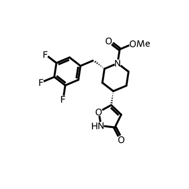 COC(=O)N1CC[C@H](c2cc(=O)[nH]o2)C[C@@H]1Cc1cc(F)c(F)c(F)c1